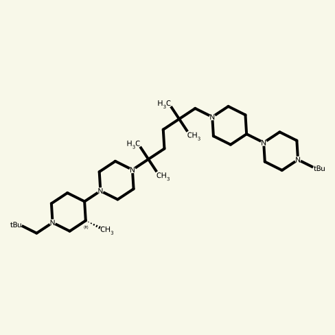 C[C@@H]1CN(CC(C)(C)C)CCC1N1CCN(C(C)(C)CCC(C)(C)CN2CCC(N3CCN(C(C)(C)C)CC3)CC2)CC1